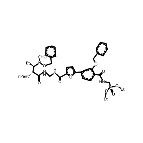 CCCCC[C@@H](C(=O)NCNC(=O)c1ccc(-c2ccc(C(=O)NCP(=O)(OCC)OCC)c(OCc3ccccc3)c2)o1)[C@@H](CC)N(C=O)OCc1ccccc1